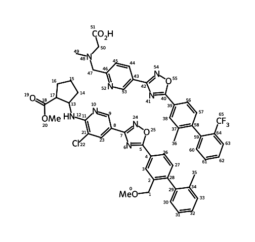 COCc1cc(-c2nc(-c3cnc(NC4CCCC4C(=O)OC)c(Cl)c3)no2)ccc1-c1ccccc1C.Cc1cc(-c2nc(-c3ccc(CN(C)CC(=O)O)nc3)no2)ccc1-c1ccccc1C(F)(F)F